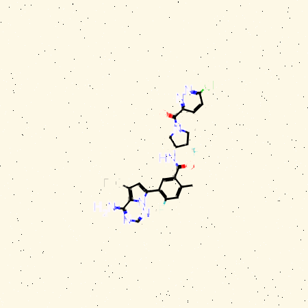 Cc1cc(F)c(-c2cc(C(F)(F)F)c3c(N)ncnn23)cc1C(=O)N[C@@H]1CN(C(=O)c2ccc(Cl)nn2)C[C@@H]1F